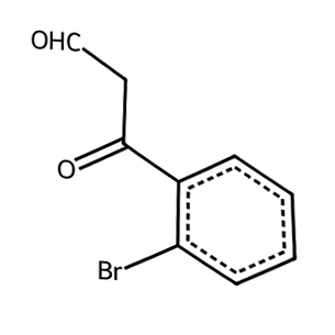 O=CCC(=O)c1ccccc1Br